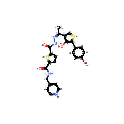 C/C(=N/NC(=O)c1ccc(C(=O)NCc2ccncc2)s1)c1csc(-c2ccc(Br)cc2)c1O